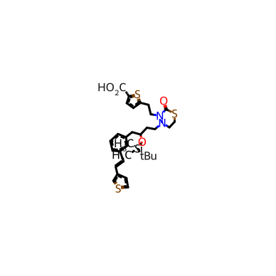 CC(C)(C)[Si](C)(C)OC(CCN1CCSC(=O)N1CCc1ccc(C(=O)O)s1)Cc1cccc(C=Cc2ccsc2)c1